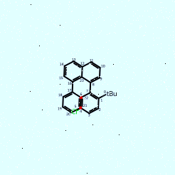 CC(C)(C)c1ccc(Cl)cc1-c1cccc2cccc(-c3ccccc3)c12